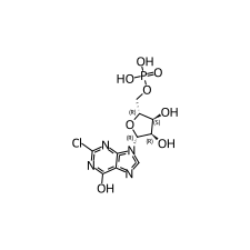 O=P(O)(O)OC[C@H]1O[C@@H](n2cnc3c(O)nc(Cl)nc32)[C@H](O)[C@@H]1O